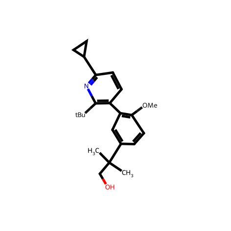 COc1ccc(C(C)(C)CO)cc1-c1ccc(C2CC2)nc1C(C)(C)C